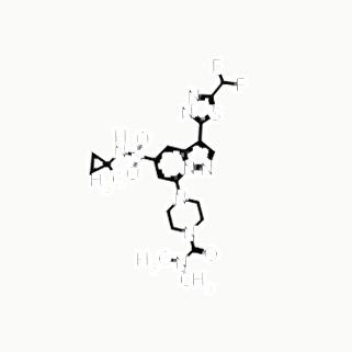 CN(C)C(=O)N1CCN(c2cc(S(=O)(=O)NC3(C)CC3)cc3c(-c4nnc(C(F)F)s4)cnn23)CC1